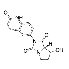 O=C1[C@@H]2C(O)CCN2C(=O)N1c1ccc2[nH]c(=O)ccc2c1